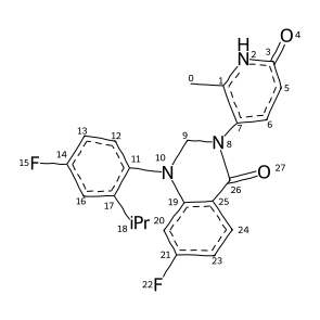 Cc1[nH]c(=O)ccc1N1CN(c2ccc(F)cc2C(C)C)c2cc(F)ccc2C1=O